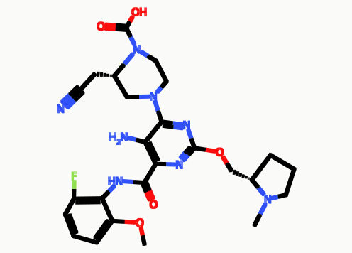 COc1cccc(F)c1NC(=O)c1nc(OC[C@@H]2CCCN2C)nc(N2CCN(C(=O)O)[C@@H](CC#N)C2)c1N